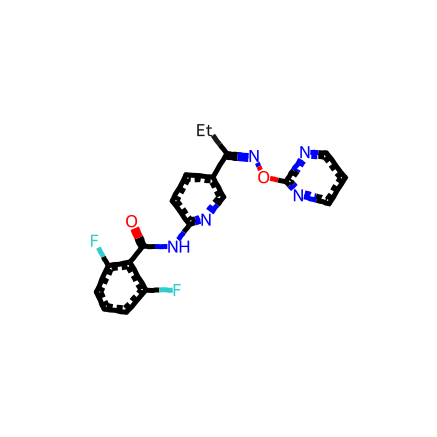 CCC(=NOc1ncccn1)c1ccc(NC(=O)c2c(F)cccc2F)nc1